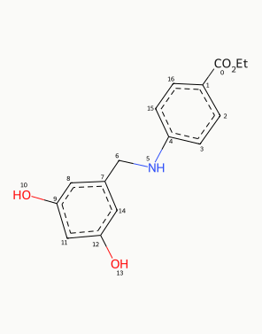 CCOC(=O)c1ccc(NCc2cc(O)cc(O)c2)cc1